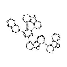 c1ccc2cc(C3=NC(c4cccc5oc6c(-c7cccc8oc9ccccc9c78)cccc6c45)=NC(c4cccc5sc6ccccc6c45)N3)ccc2c1